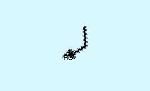 CCCCCCCCCC/C=C\CCCCCCOP(=O)(O)C(CCC)[N+](C)(C)C